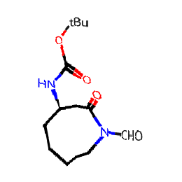 CC(C)(C)OC(=O)N[C@@H]1CCCCN(C=O)C1=O